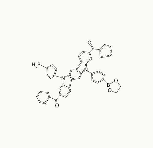 Bc1ccc(-n2c3cc(C(=O)c4ccccc4)ccc3c3cc4c(cc32)c2ccc(C(=O)c3ccccc3)cc2n4-c2ccc(B3OCCO3)cc2)cc1